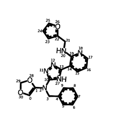 C1=C(N(Cc2ccccc2)c2nnc(-c3cccnc3NCc3ccco3)[nH]2)OCO1